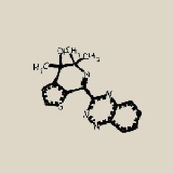 CC1(C)N=C(c2nnc3ccccc3n2)c2sccc2C1(C)O